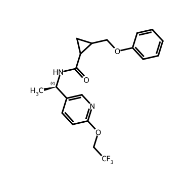 C[C@@H](NC(=O)C1CC1COc1ccccc1)c1ccc(OCC(F)(F)F)nc1